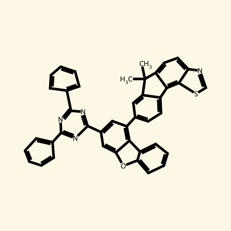 CC1(C)c2cc(-c3cc(-c4nc(-c5ccccc5)nc(-c5ccccc5)n4)cc4oc5ccccc5c34)ccc2-c2c1ccc1ncsc21